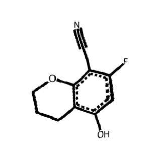 N#Cc1c(F)cc(O)c2c1OCCC2